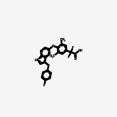 Cc1cc(C(F)(F)C(=O)O)cc(C)c1Oc1ccc2[nH]cc(Cc3ccc(F)cc3)c2c1